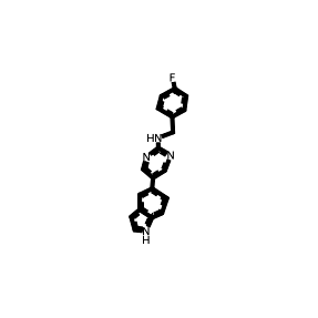 Fc1ccc(CNc2ncc(-c3ccc4[nH]ccc4c3)cn2)cc1